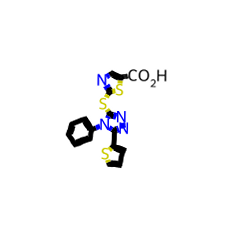 O=C(O)c1cnc(Sc2nnc(-c3cccs3)n2-c2ccccc2)s1